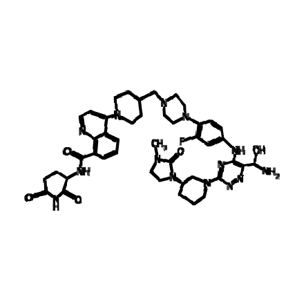 CN1CCN([C@@H]2CCCN(c3nnc(C(N)O)c(Nc4ccc(N5CCN(CC6CCN(c7ccnc8c(C(=O)NC9CCC(=O)NC9=O)cccc78)CC6)CC5)c(F)c4)n3)C2)C1=O